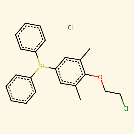 Cc1cc([S+](c2ccccc2)c2ccccc2)cc(C)c1OCCCl.[Cl-]